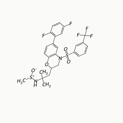 C[S+]([O-])NC(C)(C)CC1CN(S(=O)(=O)c2cccc(C(F)(F)F)c2)c2cc(-c3cc(F)ccc3F)ccc2O1